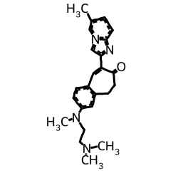 Cc1ccc2nc(C3=Cc4ccc(N(C)CCN(C)C)cc4CCC3=O)cn2c1